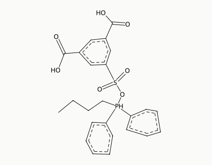 CCCC[PH](OS(=O)(=O)c1cc(C(=O)O)cc(C(=O)O)c1)(c1ccccc1)c1ccccc1